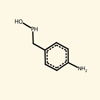 Nc1ccc(CPO)cc1